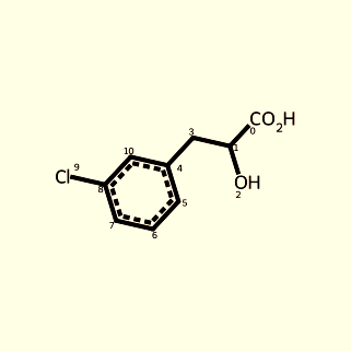 O=C(O)C(O)Cc1cccc(Cl)c1